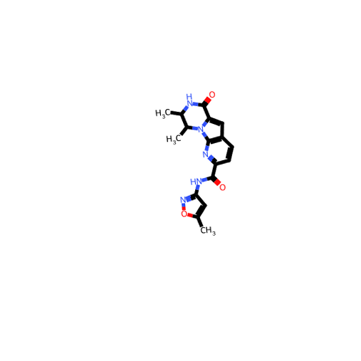 Cc1cc(NC(=O)c2ccc3cc4n(c3n2)C(C)C(C)NC4=O)no1